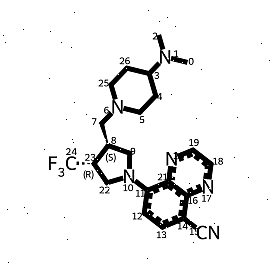 CN(C)C1CCN(C[C@H]2CN(c3ccc(C#N)c4nccnc34)C[C@@H]2C(F)(F)F)CC1